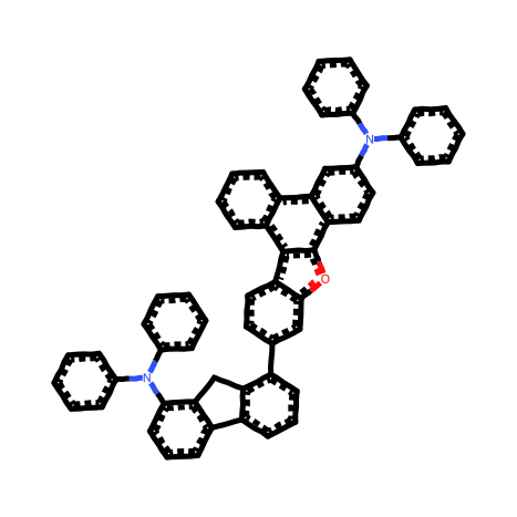 c1ccc(N(c2ccccc2)c2ccc3c(c2)c2ccccc2c2c4ccc(-c5cccc6c5Cc5c-6cccc5N(c5ccccc5)c5ccccc5)cc4oc32)cc1